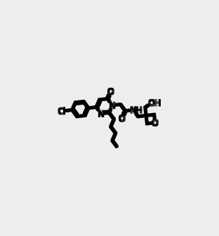 CCCCCc1nc(-c2ccc(Cl)cc2)cc(=O)n1CC(=O)NCC1(CO)COC1